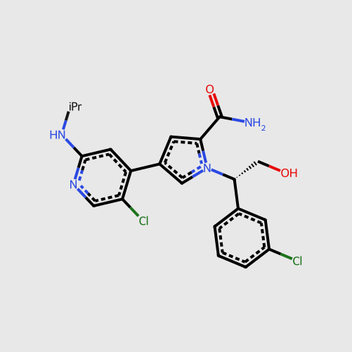 CC(C)Nc1cc(-c2cc(C(N)=O)n([C@H](CO)c3cccc(Cl)c3)c2)c(Cl)cn1